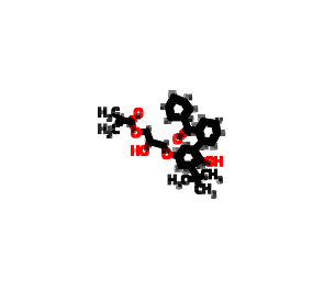 C=C(C)C(=O)OCC(O)COc1cc(-c2ccccc2C(=O)c2ccccc2)c(O)c(C(C)(C)C)c1